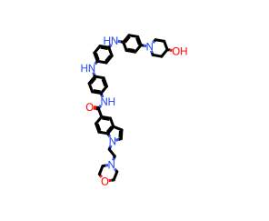 O=C(Nc1ccc(Nc2ccc(Nc3ccc(N4CCC(O)CC4)cc3)cc2)cc1)c1ccc2c(ccn2CCN2CCOCC2)c1